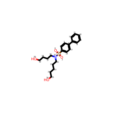 O=S(=O)(c1ccc(-c2ccccc2)cc1)N(CCCCO)CCCCCO